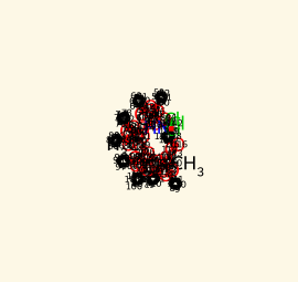 C[C@H]1[C@H](OC(=O)c2ccccc2)[C@@H](OC(=O)c2ccccc2)[C@H](OC[C@H]2O[C@@H](OC[C@H]3O[C@@H](OC[C@H]4OC(OC(=N)C(Cl)(Cl)Cl)[C@H](OC(=O)c5ccccc5)[C@@H](OC(=O)c5ccccc5)[C@@H]4C)[C@H](OC(=O)c4ccccc4)[C@@H](OC(=O)c4ccccc4)[C@@H]3C)[C@H](OC(=O)c3ccccc3)[C@@H](OC(=O)c3ccccc3)[C@@H]2C)O[C@@H]1COC(=O)c1ccccc1